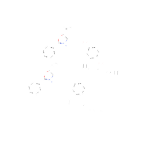 CCCc1oc(-c2ccccc2)nc1CCOc1ccc(OC(C)(C)C(=O)O)cc1.CCCc1oc(-c2ccccc2)nc1CCOc1ccc(OC(C)(C)C(=O)OCC)cc1